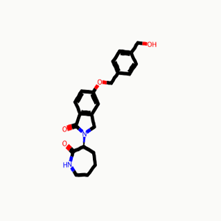 O=C1NCCCC[C@@H]1N1Cc2cc(OCc3ccc(CO)cc3)ccc2C1=O